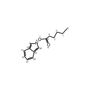 CCCCCC(=O)On1cc2ccccc2c1